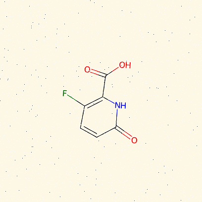 O=C(O)c1[nH]c(=O)ccc1F